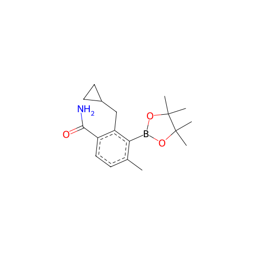 Cc1ccc(C(N)=O)c(CC2CC2)c1B1OC(C)(C)C(C)(C)O1